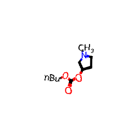 CCCCOC(=O)OC1CCN(C)C1